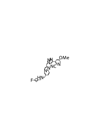 COc1cnc(C#N)c(-c2cn(Cc3cn4cc(CNCC56CC(F)(C5)C6)ccc4n3)nn2)c1